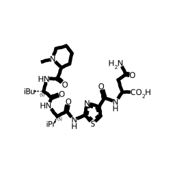 CCC(C)[C@H](NC(=O)C1CCCCN1C)C(=O)N[C@H](C(=O)Nc1nc(C(=O)NC(CC(N)=O)C(=O)O)cs1)C(C)C